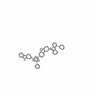 c1ccc(-c2nc(-c3ccc4c(c3)oc3ccc(-n5c6ccccc6c6c(-c7ccccc7)cccc65)cc34)nc(-c3ccc4c(c3)sc3ccccc34)n2)cc1